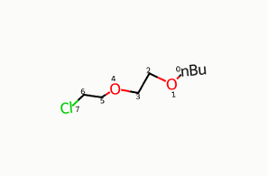 CCCCOCCOCCCl